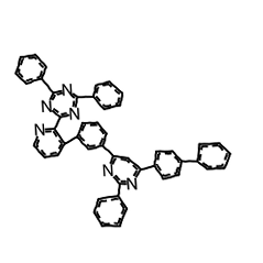 c1ccc(-c2ccc(-c3cc(-c4cccc(-c5cccnc5-c5nc(-c6ccccc6)nc(-c6ccccc6)n5)c4)nc(-c4ccccc4)n3)cc2)cc1